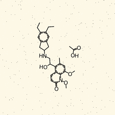 CC(=O)O.CCc1cc2c(cc1CC)CC(NCC(O)c1c(C)cc(OC)c3c1ccc(=O)n3OC)C2